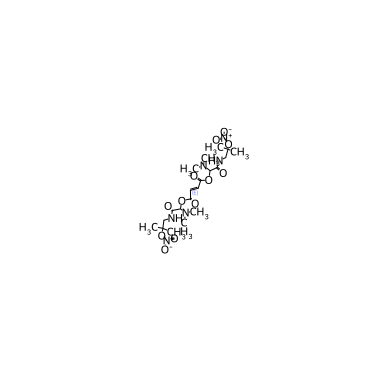 CN(C)C(OC(=O)/C=C/C(=O)OC(C(=O)NCC(C)(C)O[N+](=O)[O-])N(C)C)C(=O)NCC(C)(C)O[N+](=O)[O-]